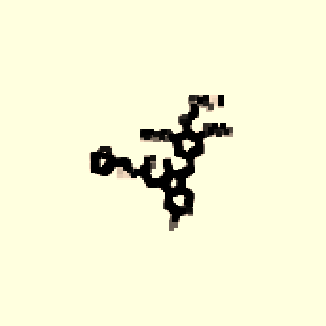 COc1cc(C=C2C(C)=C(CC(=O)NCc3ccco3)c3cc(F)ncc32)cc(OC)c1OCC(=O)O